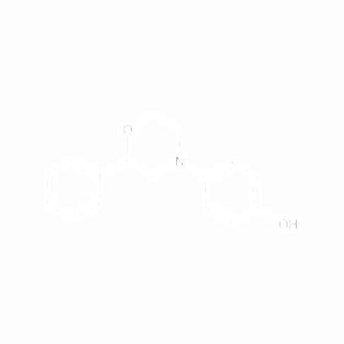 Oc1ccc(N2CCOC(c3ccccc3)C2)cc1